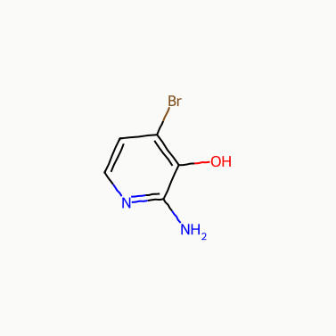 Nc1nccc(Br)c1O